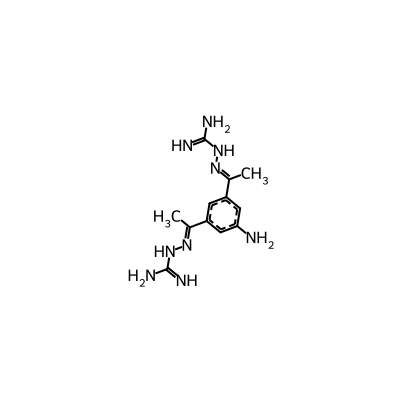 CC(=NNC(=N)N)c1cc(N)cc(C(C)=NNC(=N)N)c1